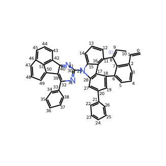 C=Cc1cccc2c1/C(=C\C)c1cccc3c1c1c-2cc(-c2ccccc2)cc1n3-c1nc(-c2ccccc2)c2c(n1)-c1cccc3cccc-2c13